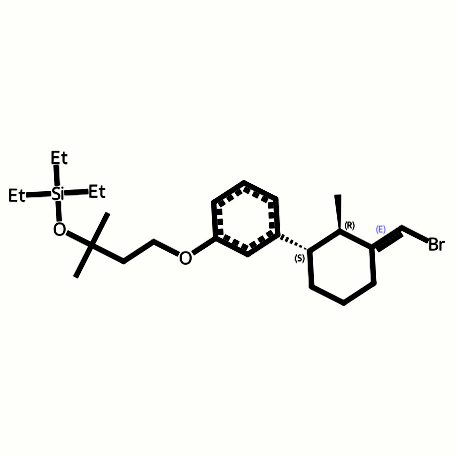 CC[Si](CC)(CC)OC(C)(C)CCOc1cccc([C@H]2CCC/C(=C\Br)[C@@H]2C)c1